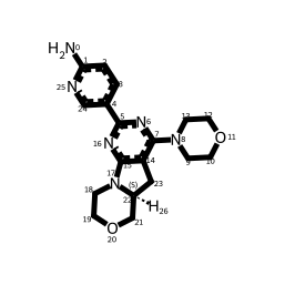 Nc1ccc(-c2nc(N3CCOCC3)c3c(n2)N2CCOC[C@@H]2C3)cn1